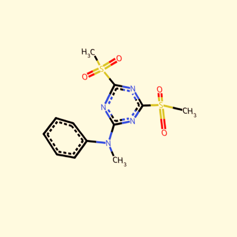 CN(c1ccccc1)c1nc(S(C)(=O)=O)nc(S(C)(=O)=O)n1